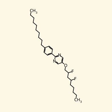 CCCCCCCCCCc1ccc(-c2ncc(OCC(F)CC(F)CCCCC)cn2)cc1